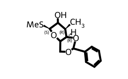 CS[C@@H]1OC2COC(c3ccccc3)O[C@@H]2[C@H](C)C1O